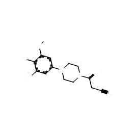 COc1cc(N2CCN(C(=O)CC#N)CC2)cc(C)c1N